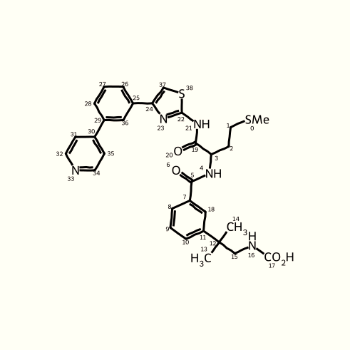 CSCCC(NC(=O)c1cccc(C(C)(C)CNC(=O)O)c1)C(=O)Nc1nc(-c2cccc(-c3ccncc3)c2)cs1